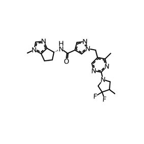 Cc1nc(N2CC(C)C(F)(F)C2)ncc1Cn1cc(C(=O)N[C@@H]2CCc3c2ncn3C)cn1